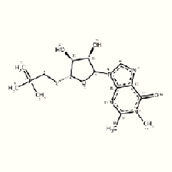 C=P(C)(C)CC[C@H]1OC(n2cnc3c(=O)n(C)c(C)nc32)[C@H](O)[C@@H]1O